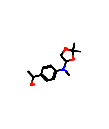 CC(O)c1ccc(N(C)C2COC(C)(C)O2)cc1